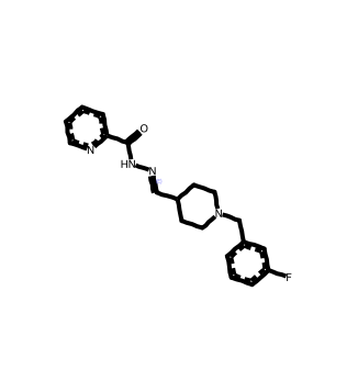 O=C(N/N=C/C1CCN(Cc2cccc(F)c2)CC1)c1ccccn1